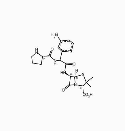 CC1(C)S[C@@H]2[C@H](NC(=O)C(NC(=O)[C@@H]3CCCN3)c3cccc(N)c3)C(=O)N2[C@H]1C(=O)O